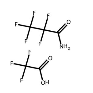 NC(=O)C(F)(F)C(F)(F)F.O=C(O)C(F)(F)F